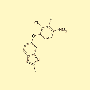 Cc1nc2cc(Oc3ccc([N+](=O)[O-])c(F)c3Cl)ccc2s1